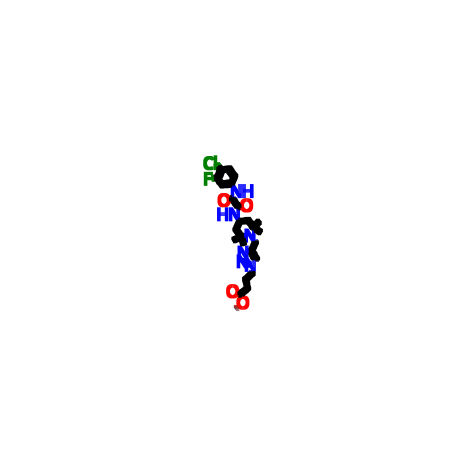 COC(=O)CCCn1cc(CN2C(C)(C)CC(NC(=O)C(=O)Nc3ccc(Cl)c(F)c3)CC2(C)C)nn1